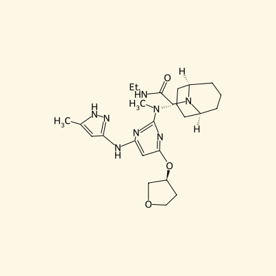 CCNC(=O)CN1[C@@H]2CCC[C@H]1C[C@H](N(C)c1nc(Nc3cc(C)[nH]n3)cc(O[C@H]3CCOC3)n1)C2